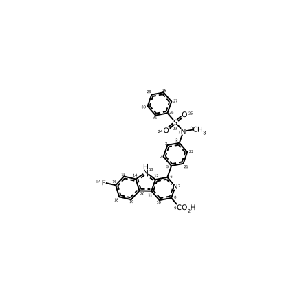 CN(c1ccc(-c2nc(C(=O)O)cc3c2[nH]c2cc(F)ccc23)cc1)S(=O)(=O)c1ccccc1